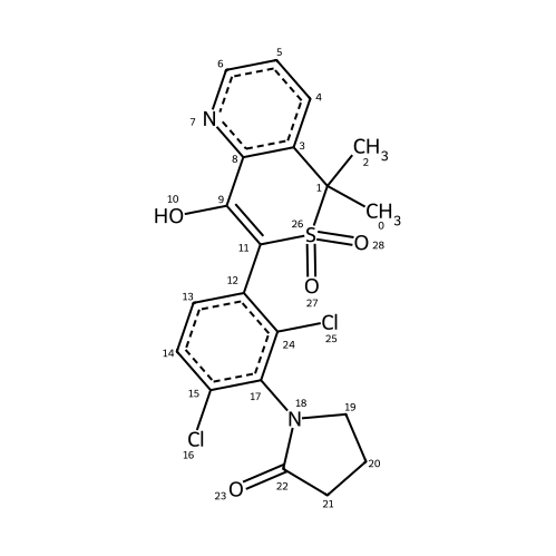 CC1(C)c2cccnc2C(O)=C(c2ccc(Cl)c(N3CCCC3=O)c2Cl)S1(=O)=O